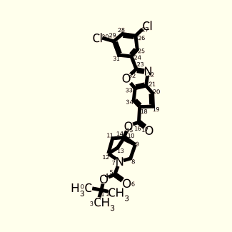 CC(C)(C)OC(=O)N1CC2CCC1CC2OC(=O)c1ccc2nc(-c3cc(Cl)cc(Cl)c3)oc2c1